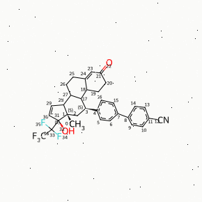 C[C@]12C[C@H](c3ccc(-c4ccc(C#N)cc4)cc3)C3C4CCC(=O)C=C4CCC3C1C=C[C@@]2(O)C(F)(F)C(F)(F)F